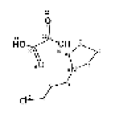 ClCCCN1CCCC1.O=C(O)C(=O)O